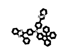 c1ccc(-c2nc3ccccc3nc2-c2ccc(N(c3ccc(-c4cn5ccccc5n4)cc3)c3ccc4c(c3)C(c3ccccc3)(c3ccccc3)c3ccccc3-4)cc2)cc1